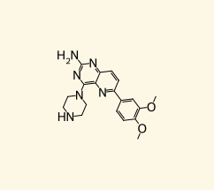 COc1ccc(-c2ccc3nc(N)nc(N4CCNCC4)c3n2)cc1OC